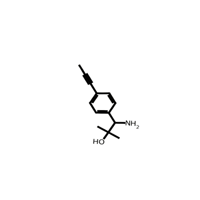 CC#Cc1ccc(C(N)C(C)(C)O)cc1